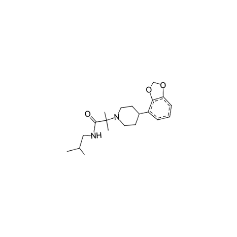 CC(C)CNC(=O)C(C)(C)N1CCC(c2cccc3c2OCO3)CC1